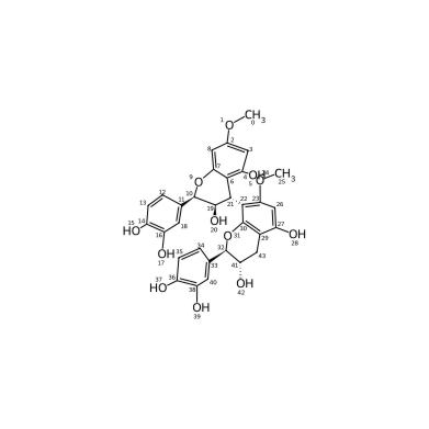 COc1cc(O)c2c(c1)O[C@H](c1ccc(O)c(O)c1)[C@H](O)[C@H]2c1c(OC)cc(O)c2c1O[C@H](c1ccc(O)c(O)c1)[C@@H](O)C2